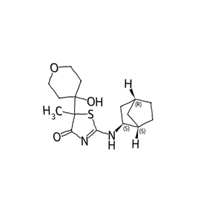 CC1(C2(O)CCOCC2)SC(N[C@H]2C[C@@H]3CC[C@H]2C3)=NC1=O